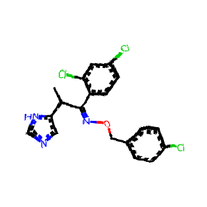 CC(C(=NOCc1ccc(Cl)cc1)c1ccc(Cl)cc1Cl)c1cnc[nH]1